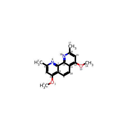 COc1cc(C)nc2c1ccc1c(OC)cc(C)nc12